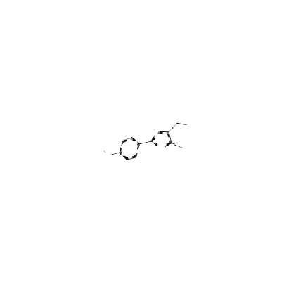 CCOc1ccc(-c2nc(CCl)c(C)o2)cc1